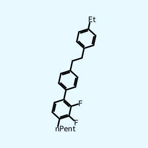 CCCCCc1ccc(-c2ccc(CCc3ccc(CC)cc3)cc2)c(F)c1F